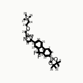 CC1(C)OB(c2ccc3c(c2)C(F)(F)c2cc(-c4cnn(COCC[Si](C)(C)C)n4)ccc2-3)OC1(C)C